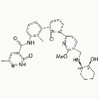 COc1nc(-c2cccc(-c3cccc(NC(=O)c4cc(C)n[nH]c4=O)c3C)c2Cl)ccc1CN[C@@H]1CCCC[C@@H]1O